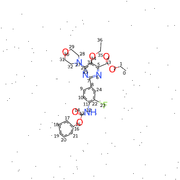 CCOC(=O)c1nc(-c2ccc(NC(=O)Oc3ccccc3)c(F)c2)nc(N2CCOCC2)c1OCC